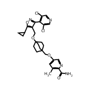 Cc1cc(OCC23CCC(OCc4c(-c5c(Cl)cncc5Cl)noc4C4CC4)(CC2)CC3)cnc1C(N)=O